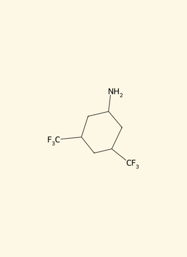 NC1CC(C(F)(F)F)CC(C(F)(F)F)C1